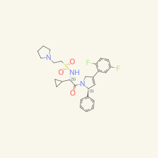 O=C([C@@H](NS(=O)(=O)CCN1CCCC1)C1CC1)N1CC(c2cc(F)ccc2F)=C[C@H]1c1ccccc1